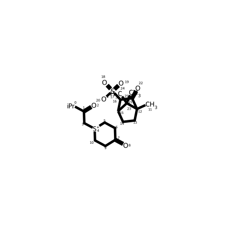 CC(C)C(=O)C[S+]1CCC(=O)CC1.CC12CCC(C(S(=O)(=O)[O-])C1=O)C2(C)C